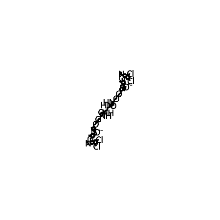 Cc1cc([S+]([O-])N2CC[C@@H](COCCOCCNC(=O)NCCCCNC(=O)NCCOCCOC[C@@H]3CCN([S+]([O-])c4ccc(O[C@H]5c6cc(Cl)cc(Cl)c6C[C@@H]5N(C)C)c(C)c4)C3)C2)ccc1O[C@H]1c2cc(Cl)cc(Cl)c2C[C@@H]1N(C)C